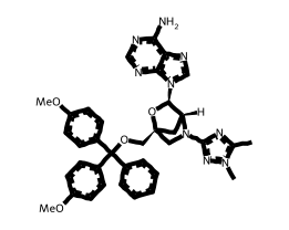 COc1ccc(C(OC[C@]23C[C@H]([C@H](n4cnc5c(N)ncnc54)O2)N(c2nc(C)n(C)n2)C3)(c2ccccc2)c2ccc(OC)cc2)cc1